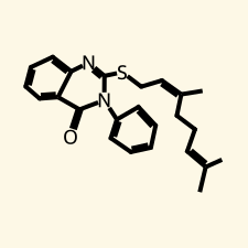 CC(C)=CCCC(C)=CCSc1nc2ccccc2c(=O)n1-c1ccccc1